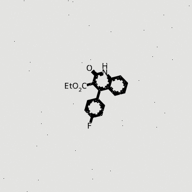 CCOC(=O)c1c(-c2ccc(F)cc2)c2ccccc2[nH]c1=O